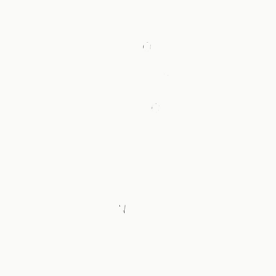 CCCCN(CCCC)CCCC.COC(C)=O